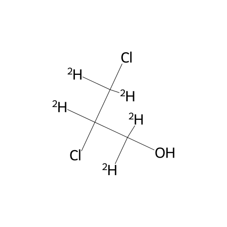 [2H]C([2H])(O)C([2H])(Cl)C([2H])([2H])Cl